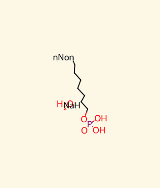 CCCCCCCCCCCCCCCCOP(=O)(O)O.O.[NaH]